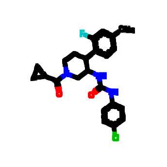 COc1ccc(C2CCN(C(=O)C3CC3)CC2NC(=O)Nc2ccc(Cl)cc2)c(F)c1